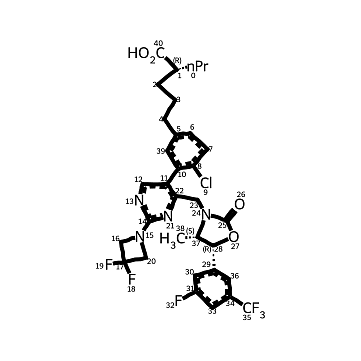 CCC[C@H](CCCc1ccc(Cl)c(-c2cnc(N3CC(F)(F)C3)nc2CN2C(=O)O[C@H](c3cc(F)cc(C(F)(F)F)c3)[C@@H]2C)c1)C(=O)O